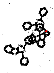 c1ccc(-c2nc(-c3ccccc3)nc(-c3cccc4c3C3(c5ccccc5Oc5ccccc53)c3c(-c5cccc(-c6nc(-c7ccccc7)c7sc8ccccc8c7n6)c5)cccc3-4)n2)cc1